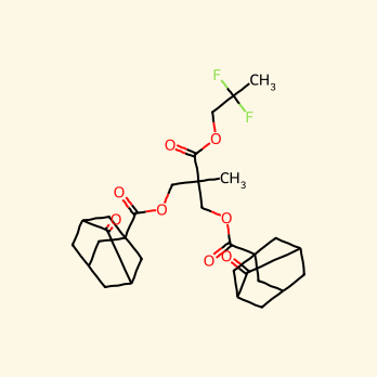 CC(F)(F)COC(=O)C(C)(COC(=O)C12CC3CC(C1)C(=O)C(C3)C2)COC(=O)C12CC3CC(C1)C(=O)C(C3)C2